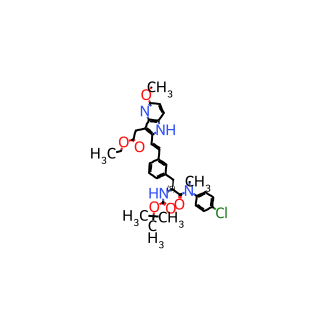 CCOC(=O)Cc1c(C=Cc2cccc(C[C@H](NC(=O)OC(C)(C)C)C(=O)N(C)c3ccc(Cl)cc3)c2)[nH]c2ccc(OC)nc12